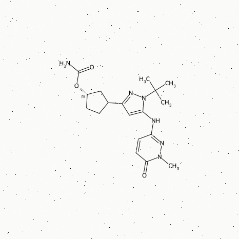 Cn1nc(Nc2cc(C3CC[C@H](OC(N)=O)C3)nn2C(C)(C)C)ccc1=O